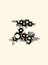 CC[C@]1(O)C[C@H]2C[N@](CCc3c([nH]c4ccccc34)[C@@](C(=O)OC)(c3cc4c(cc3OC)N(C=O)[C@H]3[C@@](O)(C(=O)OC)[C@H](OC(C)=O)[C@]5(CC)C=CCN6CC[C@]43[C@@H]65)C2)C1.C[C@]12C=CC(=O)C=C1CC[C@@H]1[C@@H]2C(=O)C[C@@]2(C)[C@H]1CC[C@]2(O)C(=O)CO